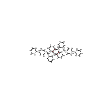 C1=C=CC(N(c2ccccc2)c2ccc(C3=CC=CCC3)cc2)=C(c2ccc(-c3ccccc3N(c3ccccc3)c3ccc(-c4ccccc4)cc3)cc2)C=1